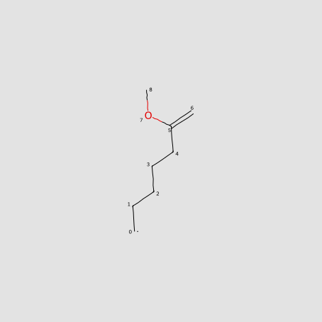 [CH2]CCCCC(=C)OC